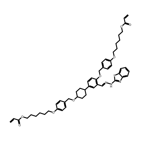 C=CC(=O)OCCCCCCOc1ccc(COc2ccc(C3CCC(OCc4ccc(OCCCCCCOC(=O)C=C)cc4)CC3)cc2/C=N/Nc2nc3ccccc3s2)cc1